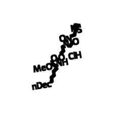 CCCCCCCCCCCCCCCC(NC(=O)OCCCN1CC(=O)N(CCc2nccs2)C1=O)C(C)OC.Cl